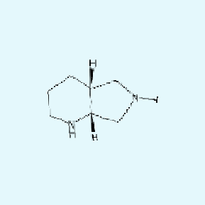 IN1C[C@H]2CCCN[C@H]2C1